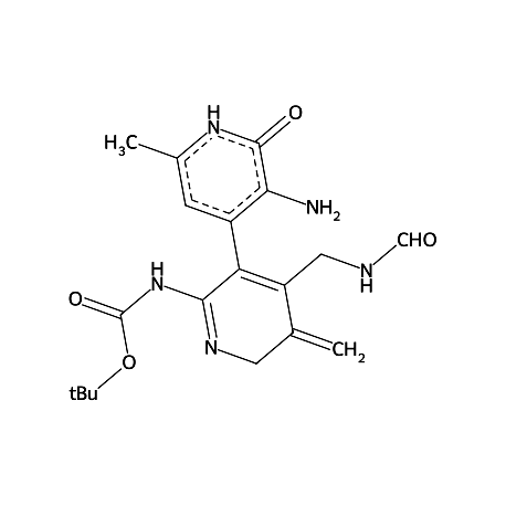 C=C1CN=C(NC(=O)OC(C)(C)C)C(c2cc(C)[nH]c(=O)c2N)=C1CNC=O